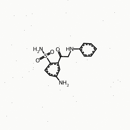 Nc1ccc(S(N)(=O)=O)c(C(=O)CNc2ccccc2)c1